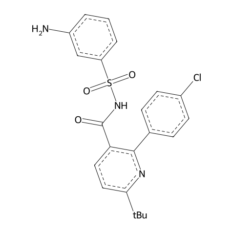 CC(C)(C)c1ccc(C(=O)NS(=O)(=O)c2cccc(N)c2)c(-c2ccc(Cl)cc2)n1